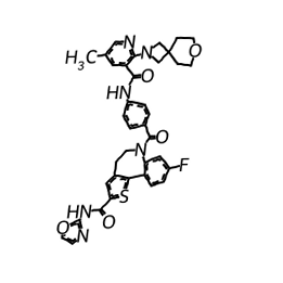 Cc1cnc(N2CC3(CCOCC3)C2)c(C(=O)Nc2ccc(C(=O)N3CCc4cc(C(=O)Nc5ncco5)sc4-c4ccc(F)cc43)cc2)c1